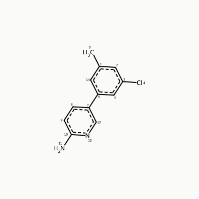 Cc1cc(Cl)cc(-c2ccc(N)nc2)c1